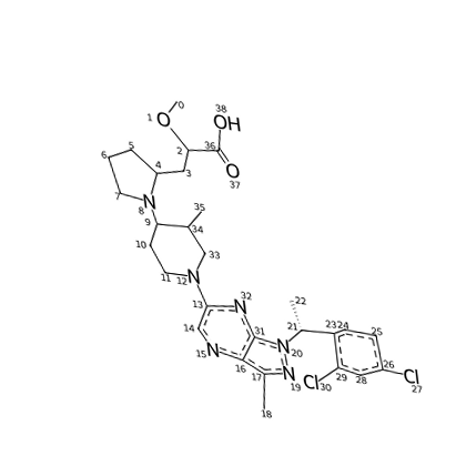 COC(CC1CCCN1C1CCN(c2cnc3c(C)nn([C@H](C)c4ccc(Cl)cc4Cl)c3n2)CC1C)C(=O)O